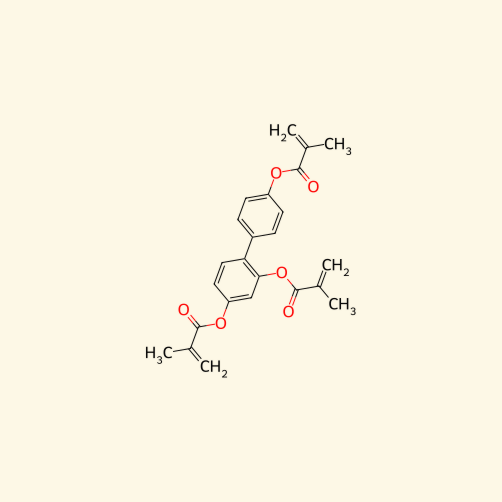 C=C(C)C(=O)Oc1ccc(-c2ccc(OC(=O)C(=C)C)cc2OC(=O)C(=C)C)cc1